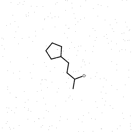 CC([O])CCC1CCCC1